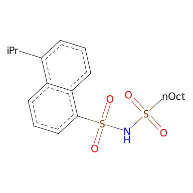 CCCCCCCCS(=O)(=O)NS(=O)(=O)c1cccc2c(C(C)C)cccc12